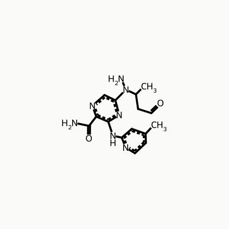 Cc1ccnc(Nc2nc(N(N)C(C)CC=O)cnc2C(N)=O)c1